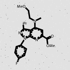 COCCN(C)c1cc(C(=O)OC)nc2c1c(C(C)C)nn2-c1ccc(F)cc1